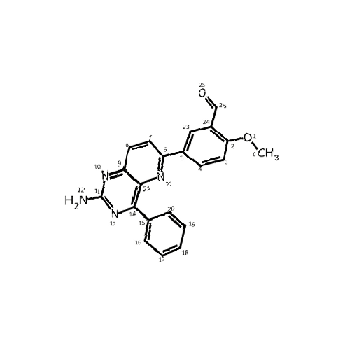 COc1ccc(-c2ccc3nc(N)nc(-c4ccccc4)c3n2)cc1C=O